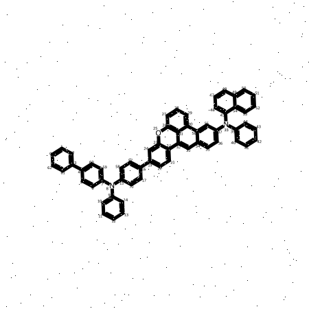 c1ccc(-c2ccc(N(c3ccccc3)c3ccc(-c4ccc5c(c4)Oc4cccc6c4c-5cc4ccc(N(c5ccccc5)c5cccc7ccccc57)cc46)cc3)cc2)cc1